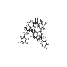 Cc1ccc(S(=O)(=O)n2cc(-c3nc(C)c(F)c(N[C@@H]4CCC[C@H](NC(=O)OCc5ccccc5)C4)n3)c3cncnc32)cc1